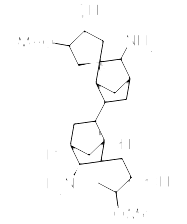 COC1C[C@@]2(C[C@H]1O)C(N)C1CC(C3C[C@H]4C[C@@H]3[C@]3(CC(OC)[C@@H](O)C3)[C@H]4N)C2C1